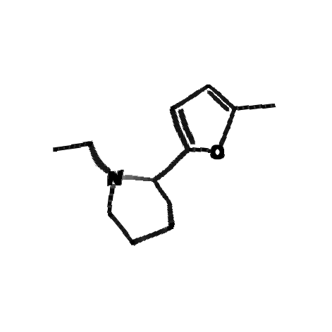 CCN1CCCC1c1ccc(C)o1